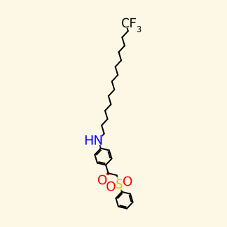 O=C(CS(=O)(=O)c1ccccc1)c1ccc(NCCCCCCCCCCCCCCCC(F)(F)F)cc1